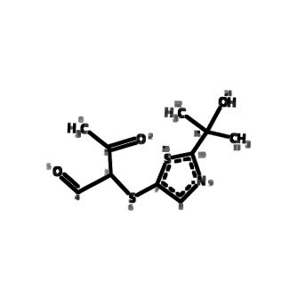 CC(=O)C(C=O)Sc1cnc(C(C)(C)O)s1